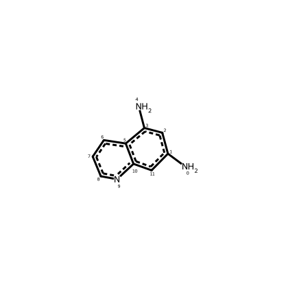 Nc1cc(N)c2cccnc2c1